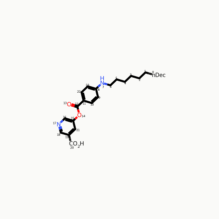 CCCCCCCCCCCCCCCCNc1ccc(C(=O)Oc2cncc(C(=O)O)c2)cc1